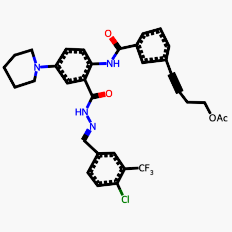 CC(=O)OCCC#Cc1cccc(C(=O)Nc2ccc(N3CCCCC3)cc2C(=O)NN=Cc2ccc(Cl)c(C(F)(F)F)c2)c1